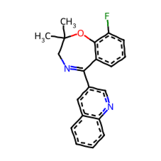 CC1(C)CN=C(c2cnc3ccccc3c2)c2cccc(F)c2O1